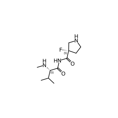 CN[C@H](C(=O)NC(=O)[C@]1(F)CCNC1)C(C)C